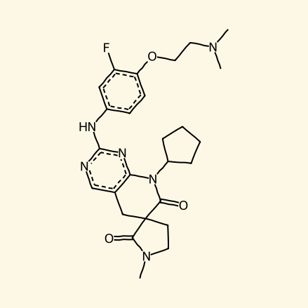 CN(C)CCOc1ccc(Nc2ncc3c(n2)N(C2CCCC2)C(=O)C2(CCN(C)C2=O)C3)cc1F